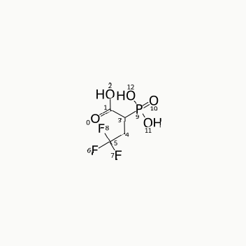 O=C(O)C(CC(F)(F)F)P(=O)(O)O